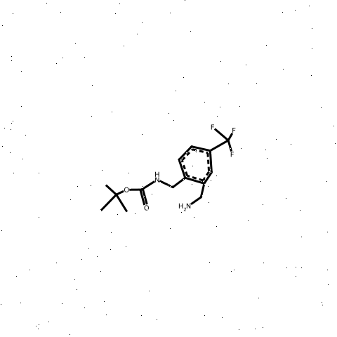 CC(C)(C)OC(=O)NCc1ccc(C(F)(F)F)cc1CN